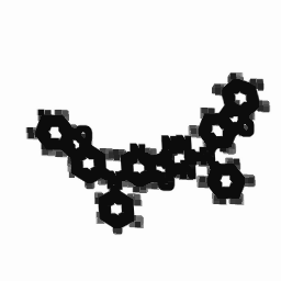 c1ccc(N(c2ccc3c(c2)oc2ccccc23)c2cnc3c(c2)oc2nc(N(c4ccccc4)c4ccc5c(c4)oc4ccccc45)nnc23)cc1